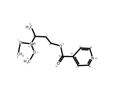 CO[SiH](OC)C(C)CCOC(=O)c1ccncc1